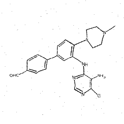 CN1CCN(c2ccc(-c3ccc(C=O)cc3)cc2Nc2ncnc(Cl)c2N)CC1